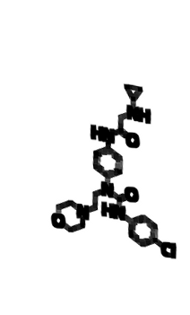 O=C(CNC1CC1)Nc1ccc(N(CCN2CCOCC2)C(=O)Nc2ccc(Cl)cc2)cc1